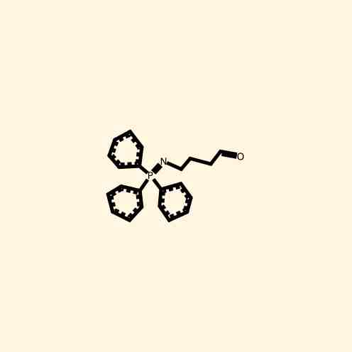 O=CCCCN=P(c1ccccc1)(c1ccccc1)c1ccccc1